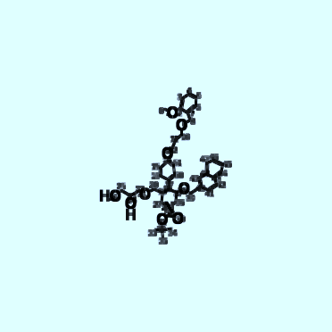 COc1ccccc1COCCCOc1ccc(C2C(COCC(O)CO)CN(C(=O)OC(C)(C)C)CC2OCc2ccc3ccccc3c2)cc1